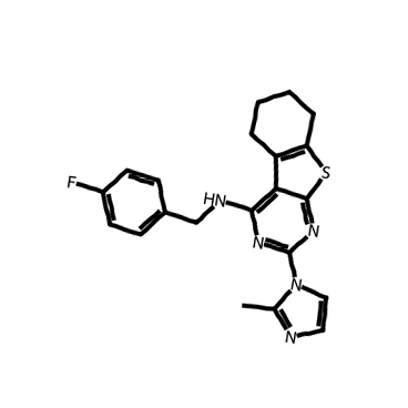 Cc1nccn1-c1nc(NCc2ccc(F)cc2)c2c3c(sc2n1)CCCC3